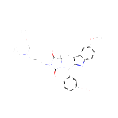 CCN(CCCN1C(=O)N2C(c3cccc(O)c3)c3[nH]c4ccc(OC)cc4c3CC2(C)C1=O)CCOC